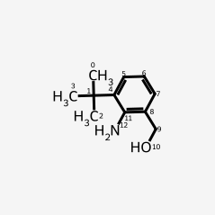 CC(C)(C)c1cccc(CO)c1N